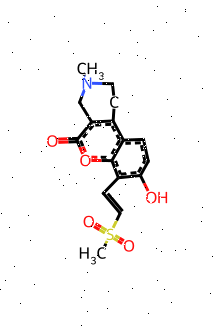 CN1CCc2c(c(=O)oc3c(/C=C/S(C)(=O)=O)c(O)ccc23)C1